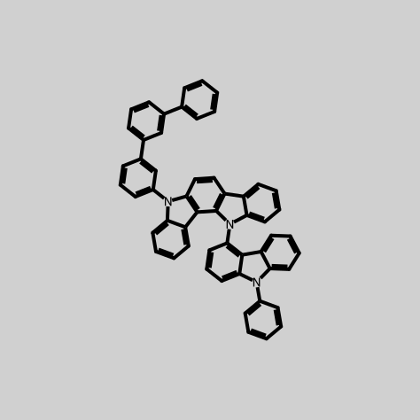 c1ccc(-c2cccc(-c3cccc(-n4c5ccccc5c5c4ccc4c6ccccc6n(-c6cccc7c6c6ccccc6n7-c6ccccc6)c45)c3)c2)cc1